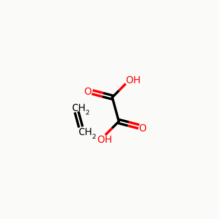 C=C.O=C(O)C(=O)O